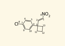 O=[N+]([O-])C=CC1(c2ccc(Cl)cc2)CCC1